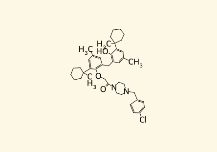 Cc1cc(Cc2cc(C)cc(C3(C)CCCCC3)c2OCC(=O)N2CCN(Cc3ccc(Cl)cc3)CC2)c(O)c(C2(C)CCCCC2)c1